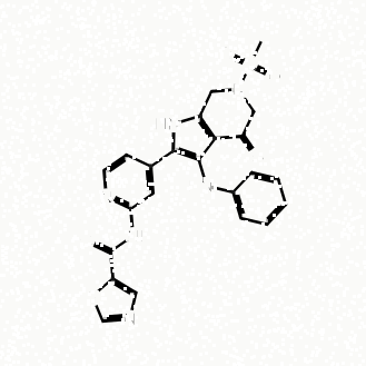 CS(=O)(=O)N1CC(=O)c2c([nH]c(-c3ccnc(NC(=O)c4cncs4)c3)c2Nc2ccccc2)C1